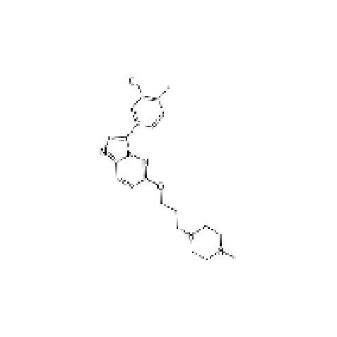 Cc1ccc(-c2cnc3ccc(OCCCN4CCN(C)CC4)nn23)cc1Cl